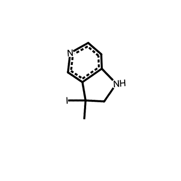 CC1(I)CNc2ccncc21